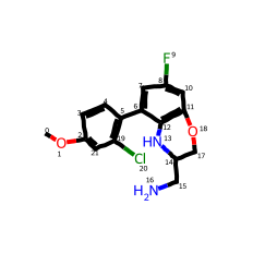 COc1ccc(-c2cc(F)cc3c2NC(CN)CO3)c(Cl)c1